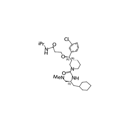 CNC[C@H](CC1CCCCC1)NC(=O)N1CCC[C@@H]([C@@H](OCCC(=O)NC(C)C)c2cccc(Cl)c2)C1